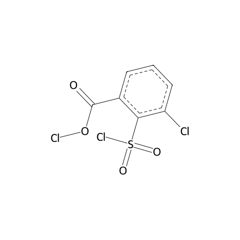 O=C(OCl)c1cccc(Cl)c1S(=O)(=O)Cl